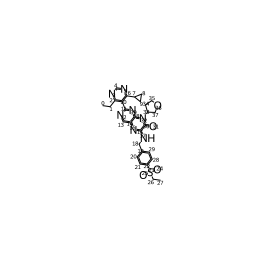 CCc1ncnc(C2CC2)c1-c1ncc2nc(NCc3ccc(S(=O)(=O)CC)cc3)c(=O)n([C@H]3CCOC3)c2n1